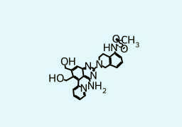 CS(=O)(=O)Nc1cccc2c1CCN(c1nc(N)c3c(-c4ccccn4)c(CO)c(CO)cc3n1)C2